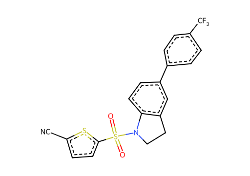 N#Cc1ccc(S(=O)(=O)N2CCc3cc(-c4ccc(C(F)(F)F)cc4)ccc32)s1